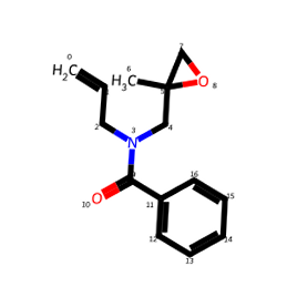 C=CCN(CC1(C)CO1)C(=O)c1ccccc1